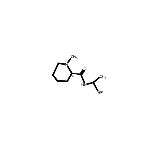 CCC(C)C(C)NC(=O)[C@H]1CCCCN1C